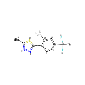 CC(C)(C)c1nnc(-c2ccc(C(C)(F)F)cc2C(F)(F)F)s1